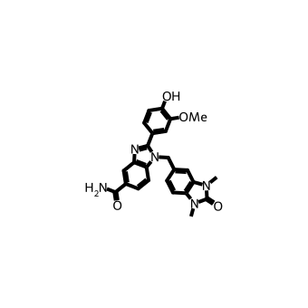 COc1cc(-c2nc3cc(C(N)=O)ccc3n2Cc2ccc3c(c2)n(C)c(=O)n3C)ccc1O